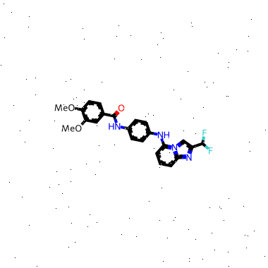 COc1ccc(C(=O)Nc2ccc(Nc3cccc4nc(C(F)F)cn34)cc2)cc1OC